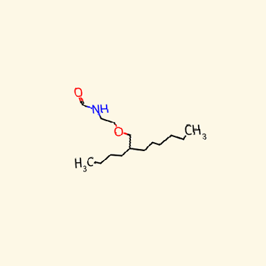 CCCCCCC(CCCC)COCCNC=O